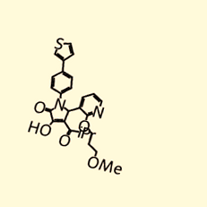 COCCCOc1ncccc1C1C(C(=O)C(C)C)=C(O)C(=O)N1c1ccc(-c2ccsc2)cc1